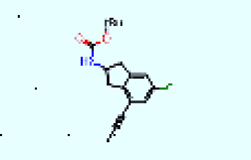 CC#Cc1cc(Cl)cc2c1CC(NC(=O)OC(C)(C)C)C2